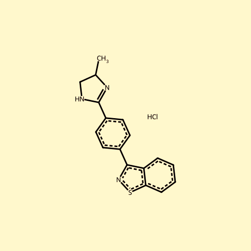 CC1CNC(c2ccc(-c3nsc4ccccc34)cc2)=N1.Cl